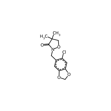 CC1(C)CON(Cc2cc3c(cc2Cl)OCO3)C1=O